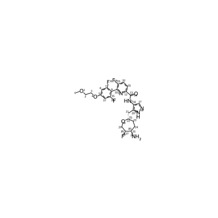 COCCOc1cc(F)c(-c2nc(C(=O)Nc3cn[nH]c3C[C@@H]3CC[C@@H](N)[C@@H](F)CO3)ccc2F)c(F)c1